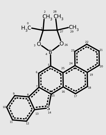 CC1(C)OB(c2cc3c4ccccc4sc3c3ccc4ccccc4c23)OC1(C)C